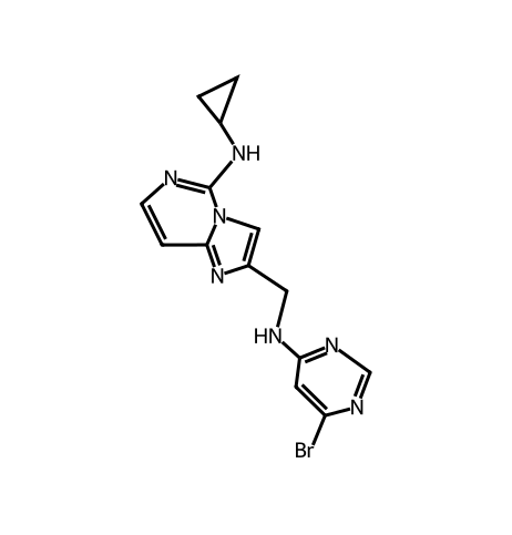 Brc1cc(NCc2cn3c(NC4CC4)nccc3n2)ncn1